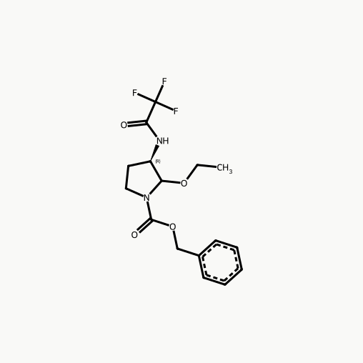 CCOC1[C@H](NC(=O)C(F)(F)F)CCN1C(=O)OCc1ccccc1